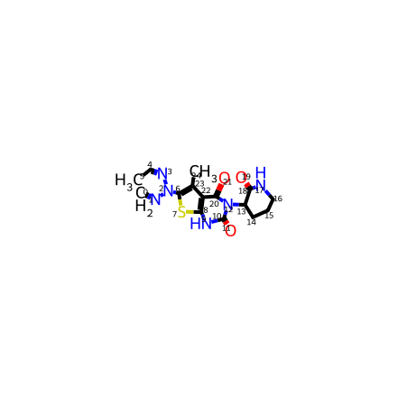 C=NN(/N=C\C)c1sc2[nH]c(=O)n(C3CCCNC3=O)c(=O)c2c1C